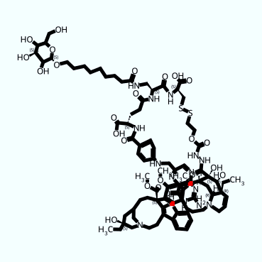 CC[C@]1(O)CC2CC[C@](C(=O)OC)(c3cc4c(cc3OC)N(C)[C@@H]3C[C@H]5N(CC=C[C@@]5(CC)[C@@H](O)[C@]3(O)C(=O)NNC(=O)OCCSSC[C@@H](NC(=O)[C@H](CNC(=O)CCCCCCCCO[C@H]3OC(CO)C(O)[C@H](O)C3O)NC(=O)CC[C@H](NC(=O)c3ccc(NCc5cnc6nc(N)[nH]c(=O)c6n5)cc3)C(=O)O)C(=O)O)CCC4)c3[nH]c4ccccc4c3CCN(C2)C1